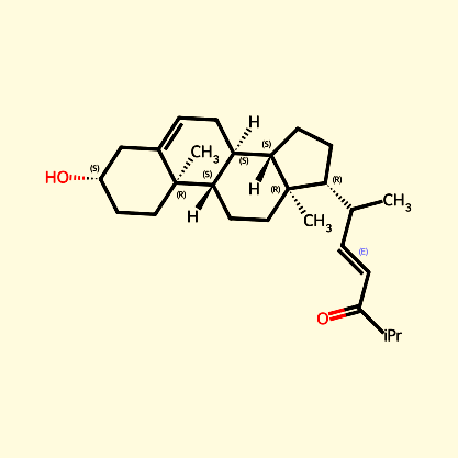 CC(C)C(=O)/C=C/C(C)[C@H]1CC[C@H]2[C@@H]3CC=C4C[C@@H](O)CC[C@]4(C)[C@H]3CC[C@]12C